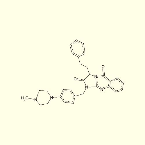 CN1CCN(c2ccc(CN3C(=O)C(CCc4ccccc4)n4c3nc3ccccc3c4=O)cc2)CC1